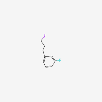 Fc1cccc(CCCI)c1